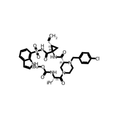 C=C[C@@H]1C[C@]1(NC(=O)[C@H]1CN(C(=O)[C@@H](NC(=O)OC(C)(C)C)C(C)C)CCN1Cc1ccc(Cl)cc1)C(=O)NS(=O)(=O)c1cccc2cc[nH]c12